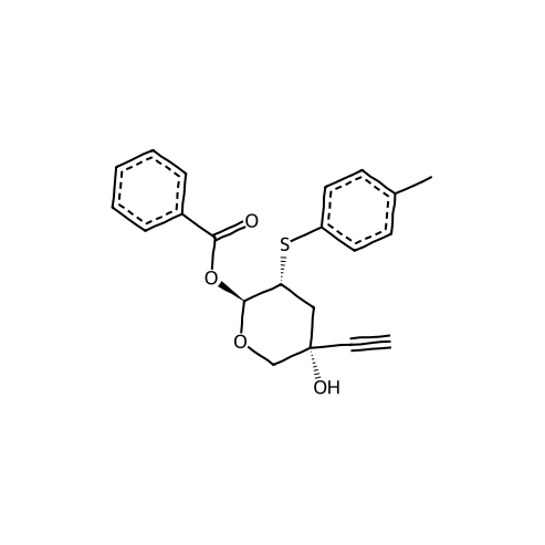 C#C[C@@]1(O)CO[C@@H](OC(=O)c2ccccc2)[C@H](Sc2ccc(C)cc2)C1